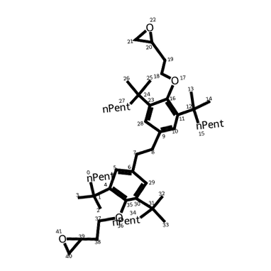 CCCCCC(C)(C)c1cc(CCc2cc(C(C)(C)CCCCC)c(OCCC3CO3)c(C(C)(C)CCCCC)c2)cc(C(C)(C)CCCCC)c1OCCC1CO1